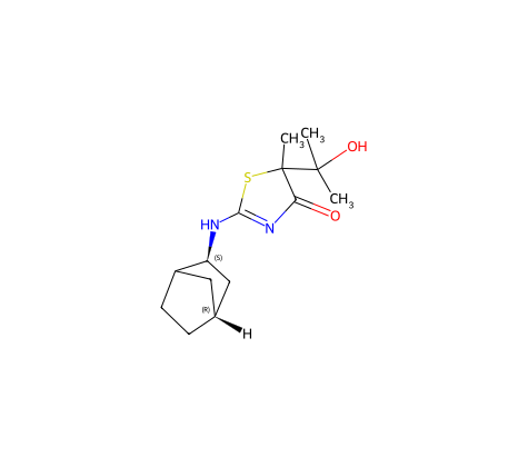 CC(C)(O)C1(C)SC(N[C@H]2C[C@@H]3CCC2C3)=NC1=O